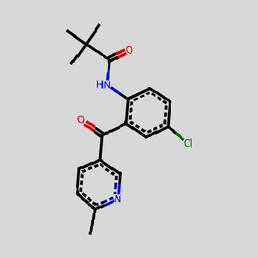 Cc1ccc(C(=O)c2cc(Cl)ccc2NC(=O)C(C)(C)C)cn1